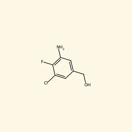 Nc1cc(CO)cc(Cl)c1F